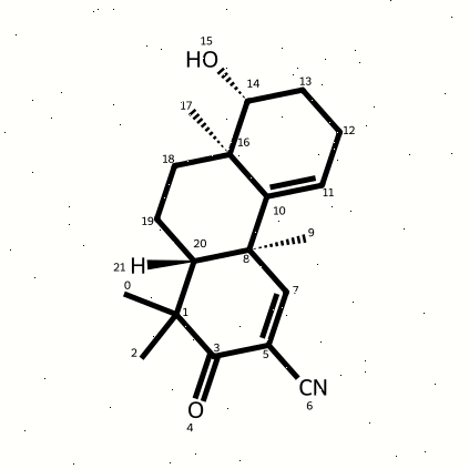 CC1(C)C(=O)C(C#N)=C[C@]2(C)C3=CCC[C@@H](O)[C@]3(C)CC[C@@H]12